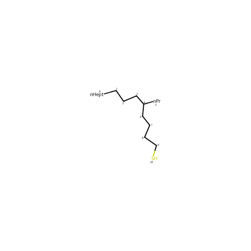 CCCCCCCCCCC(CCC)CCCCS